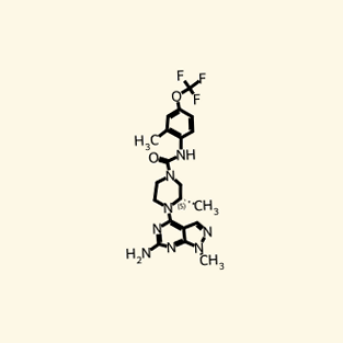 Cc1cc(OC(F)(F)F)ccc1NC(=O)N1CCN(c2nc(N)nc3c2cnn3C)[C@@H](C)C1